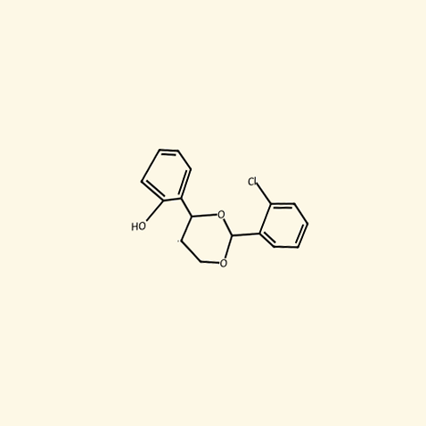 Oc1ccccc1C1[CH]COC(c2ccccc2Cl)O1